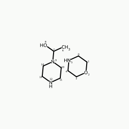 C1COCCN1.CC(O)N1CCNCC1